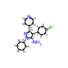 Nc1c(-c2ccc(F)cc2)c(-c2ccncc2)nn1-c1ccccc1